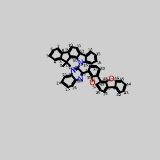 CC1(C)c2ccccc2-c2ccc3c4ccccc4n(-c4nc5ccccc5nc4-c4cccc5c4oc4ccc6c7ccccc7oc6c45)c3c21